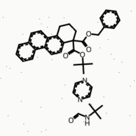 CC(C)(C)NC=O.CC(C)(C)OC(=O)C1(C(=O)OCc2ccccc2)CCCc2c1ccc1c2ccc2ccccc21.c1cnccn1